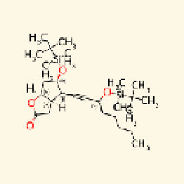 CCCCC[C@@H](C#C[C@H]1[C@H]2CC(=O)O[C@H]2C[C@H]1O[Si](C)(C)C(C)(C)C)O[Si](C)(C)C(C)(C)C